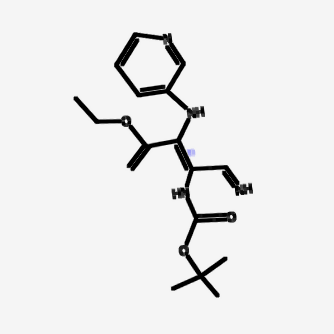 C=C(OCC)/C(Nc1cccnc1)=C(/C=N)NC(=O)OC(C)(C)C